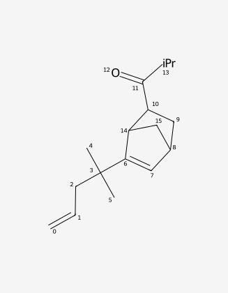 C=CCC(C)(C)C1=CC2CC(C(=O)C(C)C)C1C2